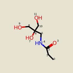 CCC(=O)NCC(O)(CO)CO